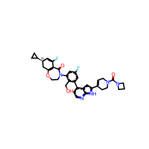 O=C(N1CC=C(c2cc3c(-c4cc(F)cc(N5CCOC6=C(C5=O)C(F)=C[C@H](C5CC5)C6)c4CO)ccnc3[nH]2)CC1)N1CCC1